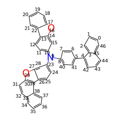 c1ccc2c(-c3ccc(N(c4ccc5c(c4)oc4ccccc45)c4ccc5c(c4)oc4ccc6ccccc6c45)cc3)cccc2c1